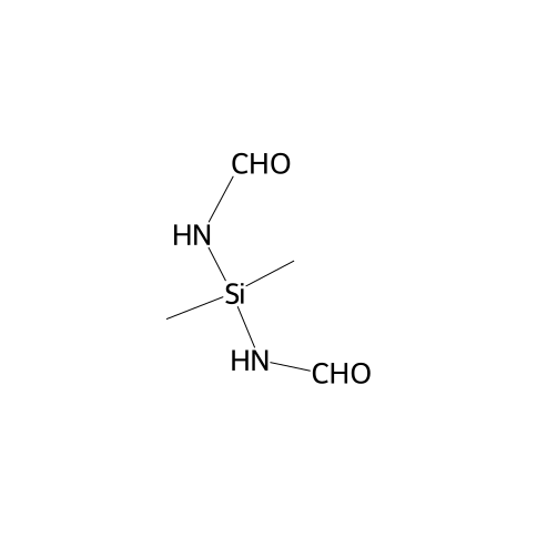 C[Si](C)(NC=O)NC=O